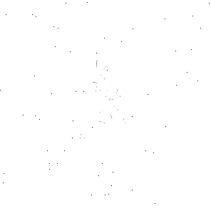 COc1cc(C2CCN(C)CC2)ccc1Nc1ncc2c(n1)N(C)C(=O)N(c1c(CF)csc1Cl)C2